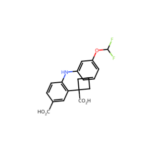 O=C(O)c1ccc(Nc2cccc(OC(F)F)c2)c(C2(C(=O)O)CCC2)c1